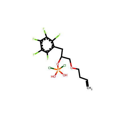 C=CCCOCC(Cc1c(F)c(F)c(F)c(F)c1F)OP(O)(O)(Cl)Cl